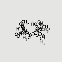 C=CC(=O)N1CCN(c2nc(OC[C@@H]3C[C@@H](OCCOc4cc(-c5scnc5C)ccc4CNC(=O)[C@@H]4C[C@@H](O)CN4C(=O)[C@H](c4cc(C)no4)C(C)C)CN3C)nc3c2CCN(c2cccc4ccccc24)C3)C[C@@H]1CC#N